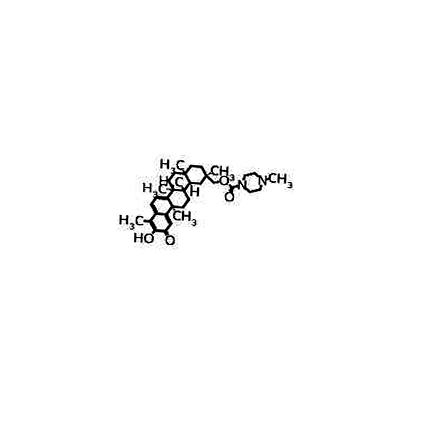 CC1=C(O)C(=O)C=C2C1=CC=C1[C@@]2(C)CC[C@@]2(C)[C@@H]3C[C@](C)(COC(=O)N4CCN(C)CC4)CC[C@@]3(C)CC[C@]12C